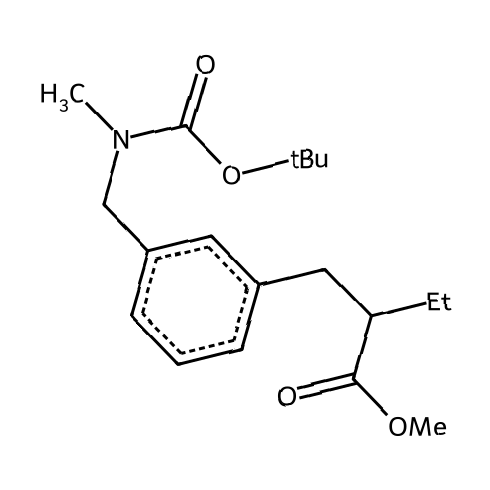 CCC(Cc1cccc(CN(C)C(=O)OC(C)(C)C)c1)C(=O)OC